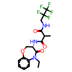 CCN1C(=O)[C@@H](NC(=O)C(C)C(=O)NCC(F)(F)C(F)(F)F)COc2ccccc21